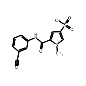 Cn1cc(S(=O)(=O)Cl)cc1C(=O)Nc1cccc(C#N)c1